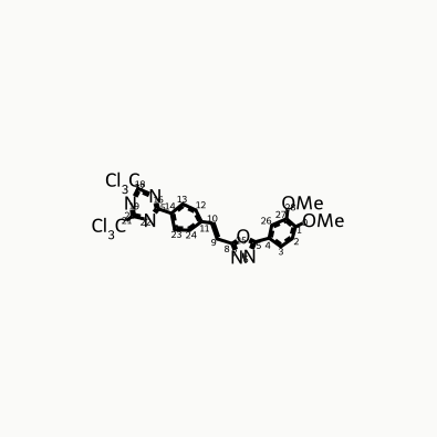 COc1ccc(-c2nnc(C=Cc3ccc(-c4nc(C(Cl)(Cl)Cl)nc(C(Cl)(Cl)Cl)n4)cc3)o2)cc1OC